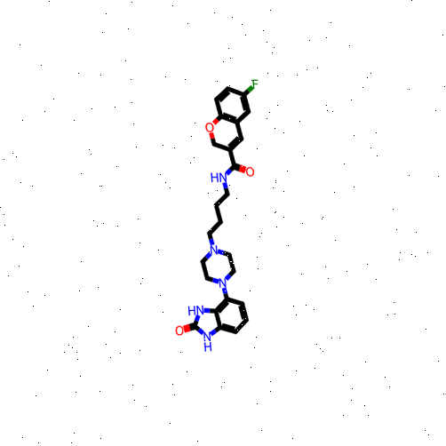 O=C(NCCCCN1CCN(c2cccc3[nH]c(=O)[nH]c23)CC1)C1=Cc2cc(F)ccc2OC1